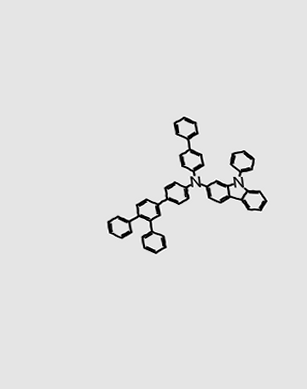 c1ccc(-c2ccc(N(c3ccc(-c4ccc(-c5ccccc5)c(-c5ccccc5)c4)cc3)c3ccc4c5ccccc5n(-c5ccccc5)c4c3)cc2)cc1